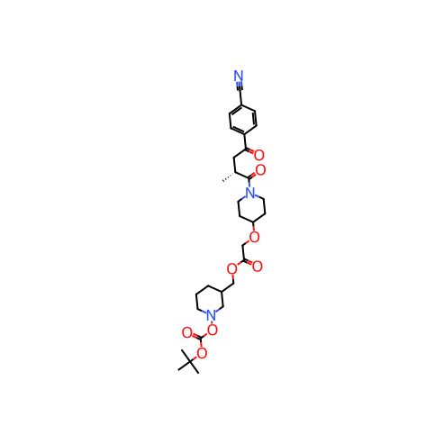 C[C@H](CC(=O)c1ccc(C#N)cc1)C(=O)N1CCC(OCC(=O)OCC2CCCN(OC(=O)OC(C)(C)C)C2)CC1